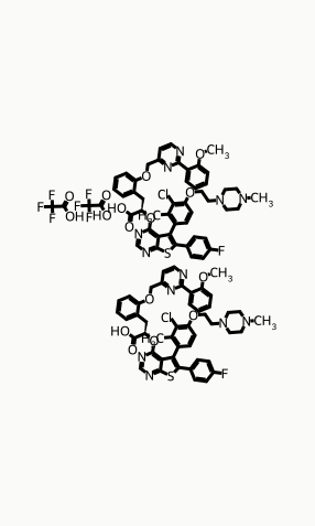 COc1ccccc1-c1nccc(COc2ccccc2C[C@@H](Oc2ncnc3sc(-c4ccc(F)cc4)c(-c4ccc(OCCN5CCN(C)CC5)c(Cl)c4C)c23)C(=O)O)n1.COc1ccccc1-c1nccc(COc2ccccc2C[C@@H](Oc2ncnc3sc(-c4ccc(F)cc4)c(-c4ccc(OCCN5CCN(C)CC5)c(Cl)c4C)c23)C(=O)O)n1.O=C(O)C(F)(F)F.O=C(O)C(F)(F)F